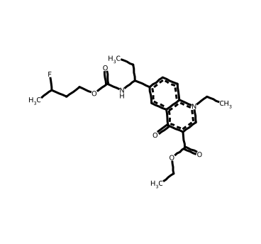 CCOC(=O)c1cn(CC)c2ccc(C(CC)NC(=O)OCCC(C)F)cc2c1=O